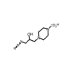 [N-]=[N+]=NCC(O)CN1CCN(C(=O)O)CC1